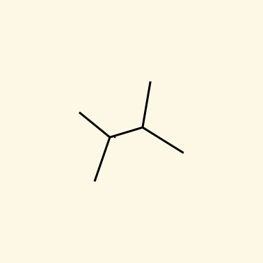 C[C](C)C(C)C